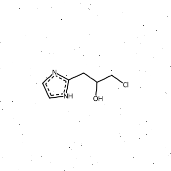 OC(CCl)Cc1ncc[nH]1